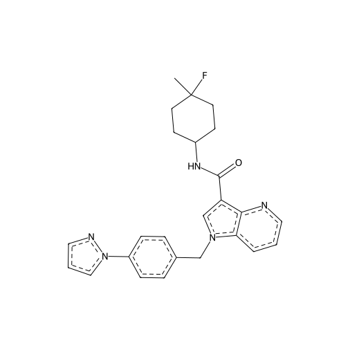 CC1(F)CCC(NC(=O)c2cn(Cc3ccc(-n4cccn4)cc3)c3cccnc23)CC1